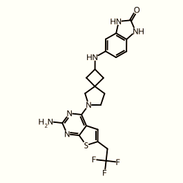 Nc1nc(N2CCC3(CC(Nc4ccc5[nH]c(=O)[nH]c5c4)C3)C2)c2cc(CC(F)(F)F)sc2n1